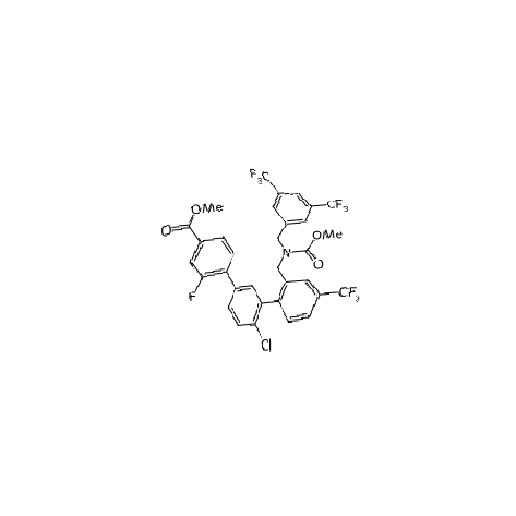 COC(=O)c1ccc(-c2ccc(Cl)c(-c3ccc(C(F)(F)F)cc3CN(Cc3cc(C(F)(F)F)cc(C(F)(F)F)c3)C(=O)OC)c2)c(F)c1